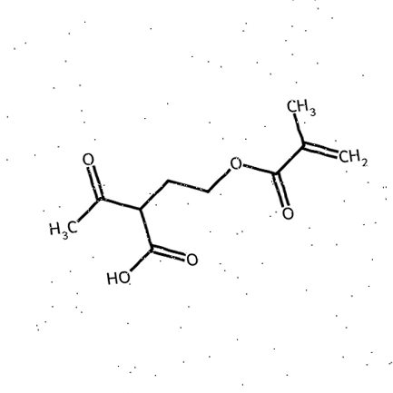 C=C(C)C(=O)OCCC(C(C)=O)C(=O)O